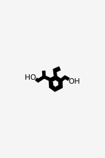 C=Cc1c(CO)cccc1[C](C)CO